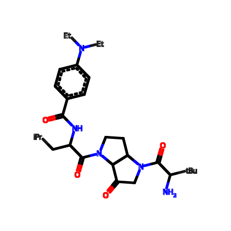 CCN(CC)c1ccc(C(=O)NC(CC(C)C)C(=O)N2CCC3C2C(=O)CN3C(=O)C(N)C(C)(C)C)cc1